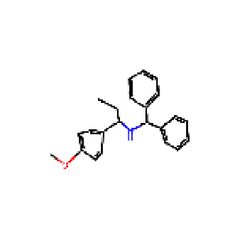 CCC(NC(c1ccccc1)c1ccccc1)c1ccc(OC)cc1